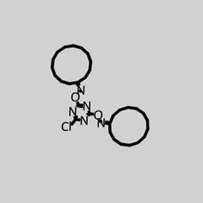 Clc1nc(ON=C2CCCCCCCCCCCCC2)nc(ON=C2CCCCCCCCCCCCC2)n1